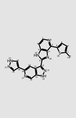 Fc1ccc(-c2nccc3[nH]c(-c4n[nH]c5cnc(-c6cn[nH]c6)cc45)nc23)s1